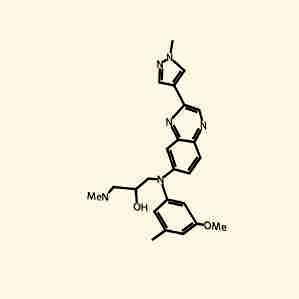 CNCC(O)CN(c1cc(C)cc(OC)c1)c1ccc2ncc(-c3cnn(C)c3)nc2c1